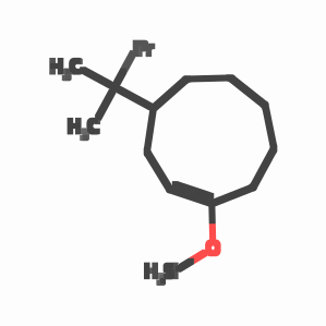 CC(C)C(C)(C)C1CC=C(O[SiH3])CCCCC1